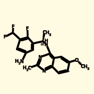 COc1[c]cc2nc(C)nc(N[C@H](C)c3cc(N)cc(C(F)F)c3F)c2c1